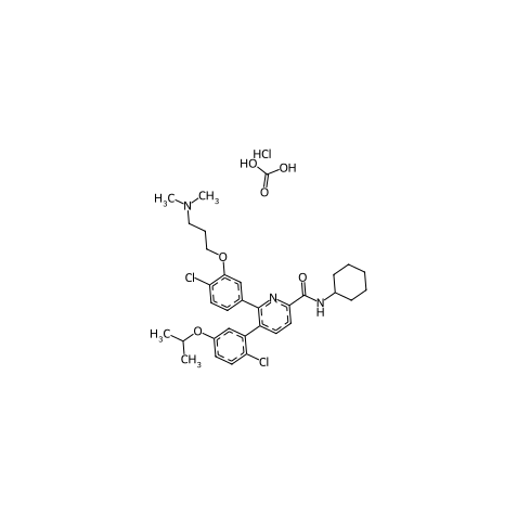 CC(C)Oc1ccc(Cl)c(-c2ccc(C(=O)NC3CCCCC3)nc2-c2ccc(Cl)c(OCCCN(C)C)c2)c1.Cl.O=C(O)O